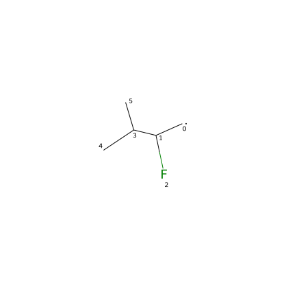 [CH2]C(F)C(C)C